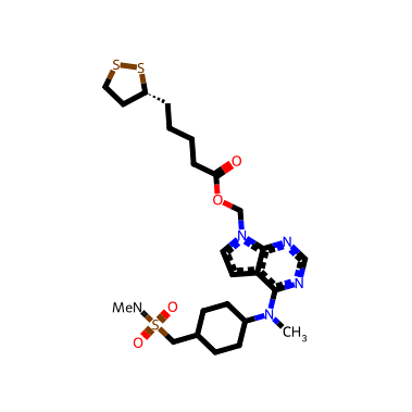 CNS(=O)(=O)CC1CCC(N(C)c2ncnc3c2ccn3COC(=O)CCCC[C@@H]2CCSS2)CC1